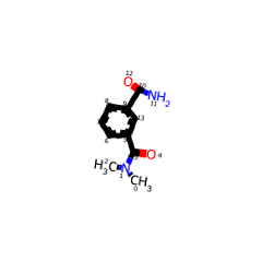 CN(C)C(=O)c1cccc(C(N)=O)c1